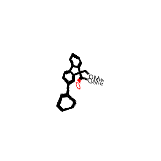 COCC1(C(=O)OC)c2ccccc2-c2ccc(C3CCCCC3)cc21